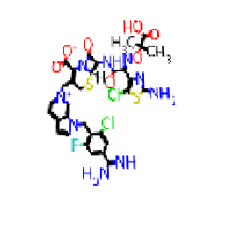 CC(C)(ON=C(C(=O)N[C@@H]1C(=O)N2C(C(=O)[O-])=C(C[n+]3ccc4ccn(Cc5c(F)cc(C(=N)N)cc5Cl)c4c3)CS[C@H]12)c1nc(N)sc1Cl)C(=O)O